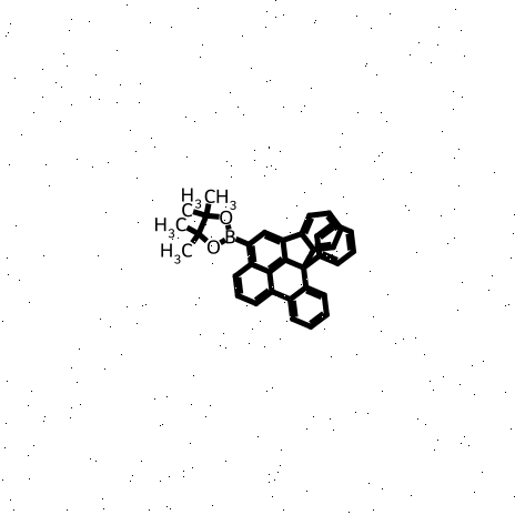 CC1(C)OB(c2cc3c4c5c(cccc25)-c2ccccc2C4(c2ccccc2)c2ccccc2-3)OC1(C)C